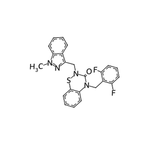 Cn1nc(CN2Sc3ccccc3N(Cc3c(F)cccc3F)C2=O)c2ccccc21